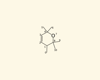 CC1C=CC(C)(C)OC1(C)C